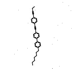 CCC#Cc1ccc(C#Cc2ccc(-c3ccc(CCCCCCC)cc3)cc2)cc1